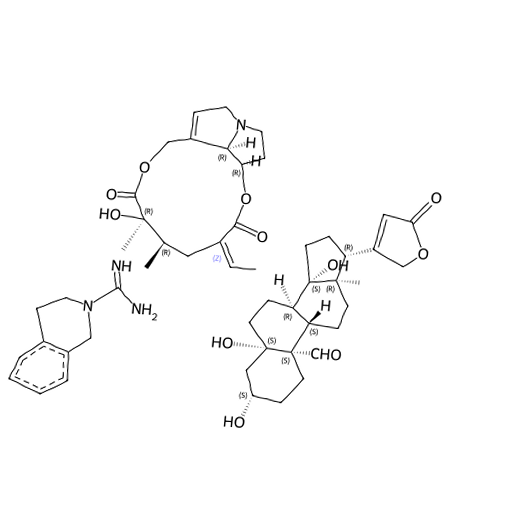 C/C=C1/C[C@@H](C)[C@@](C)(O)C(=O)OCC2=CCN3CC[C@@H](OC1=O)[C@@H]23.C[C@]12CC[C@H]3[C@@H](CC[C@]4(O)C[C@@H](O)CC[C@]34C=O)[C@@]1(O)CC[C@@H]2C1=CC(=O)OC1.N=C(N)N1CCc2ccccc2C1